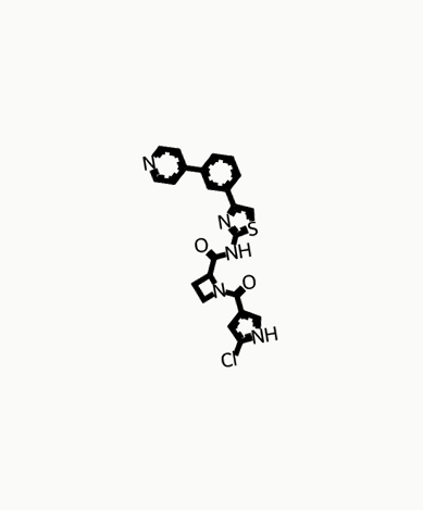 O=C(Nc1nc(-c2cccc(-c3ccncc3)c2)cs1)C1CCN1C(=O)c1c[nH]c(Cl)c1